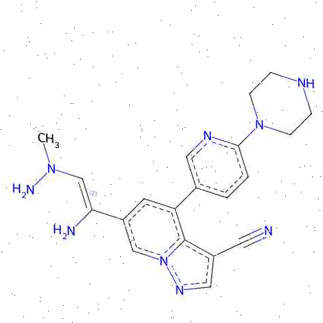 CN(N)/C=C(\N)c1cc(-c2ccc(N3CCNCC3)nc2)c2c(C#N)cnn2c1